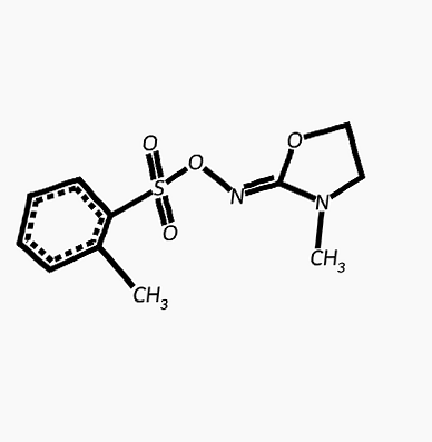 Cc1ccccc1S(=O)(=O)ON=C1OCCN1C